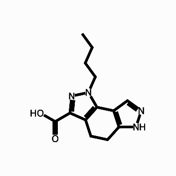 CCCCn1nc(C(=O)O)c2c1-c1cn[nH]c1CC2